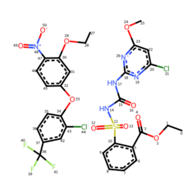 CCOC(=O)c1ccccc1S(=O)(=O)NC(=O)Nc1nc(Cl)cc(OC)n1.CCOc1cc(Oc2ccc(C(F)(F)F)cc2Cl)ccc1[N+](=O)[O-]